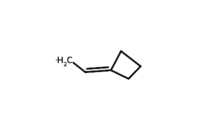 [CH2]C=C1CCC1